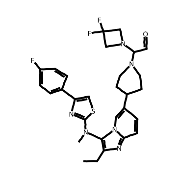 CCc1nc2ccc(C3CCN(C(C=O)N4CC(F)(F)C4)CC3)cn2c1N(C)c1nc(-c2ccc(F)cc2)cs1